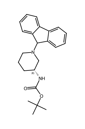 CC(C)(C)OC(=O)N[C@@H]1CCCN(C2c3ccccc3-c3ccccc32)C1